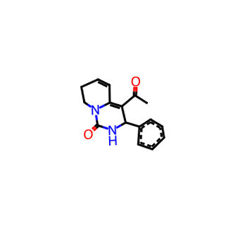 CC(=O)C1=C2C=CCCN2C(=O)NC1c1ccccc1